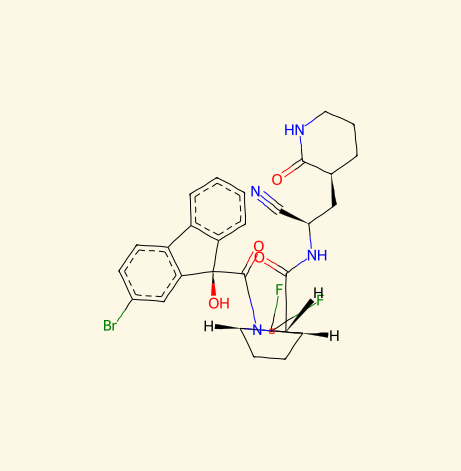 N#C[C@@H](C[C@@H]1CCCNC1=O)NC(=O)[C@@H]1[C@@H]2CC[C@@H](CC2(F)F)N1C(=O)[C@@]1(O)c2ccccc2-c2ccc(Br)cc21